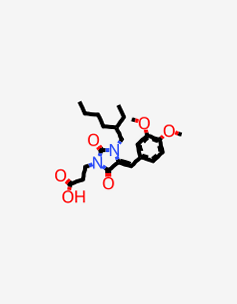 CCCCC(CC)CN1C(=O)N(CCC(=O)O)C(=O)C1=Cc1ccc(OC)c(OC)c1